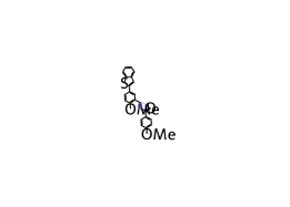 COc1ccc(C(=O)/C=C/c2cc(-c3cc4ccccc4s3)ccc2OC)cc1